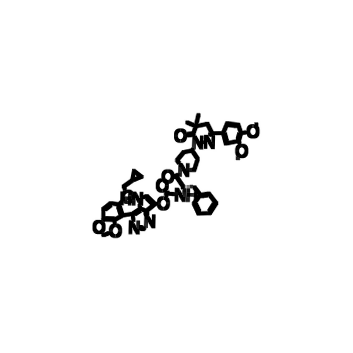 COc1ccc(C2=NN(C3CCN(C(=O)[C@H](Cc4ccccc4)NC(=O)Oc4c[nH]c5c(-c6c(OCC7CC7)ccc7c6OCO7)ncnc45)CC3)C(=O)C(C)(C)C2)cc1OC